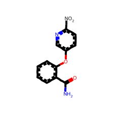 NC(=O)c1ccccc1Oc1ccc([N+](=O)[O-])nc1